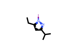 CCc1cc(C(C)C)nn1I